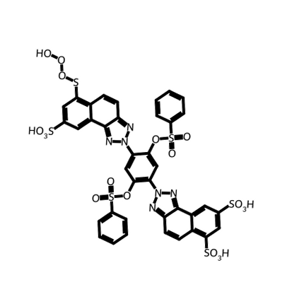 O=S(=O)(O)c1cc(SOOO)c2ccc3nn(-c4cc(OS(=O)(=O)c5ccccc5)c(-n5nc6ccc7c(S(=O)(=O)O)cc(S(=O)(=O)O)cc7c6n5)cc4OS(=O)(=O)c4ccccc4)nc3c2c1